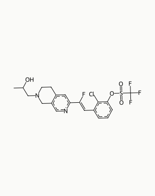 CC(O)CN1CCc2cc(C(F)=Cc3cccc(OS(=O)(=O)C(F)(F)F)c3Cl)ncc2C1